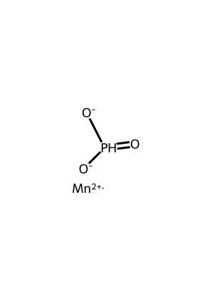 O=[PH]([O-])[O-].[Mn+2]